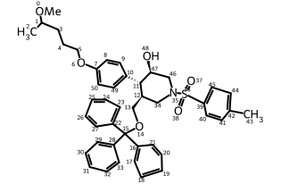 COC(C)CCCOc1ccc([C@H]2[C@H](COC(c3ccccc3)(c3ccccc3)c3ccccc3)CN(S(=O)(=O)c3ccc(C)cc3)C[C@@H]2O)cc1